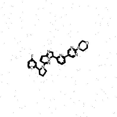 Fc1cccc(C2CCCN2C2=NN3C(=NCC3c3cccc(-c4cnc(N5CCOCC5)nc4)n3)C=C2)c1